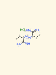 CCC(/N=N/C(CC)C(=N)N)C(=N)N.Cl